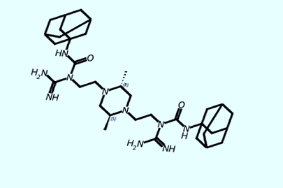 C[C@@H]1CN(CCN(C(=N)N)C(=O)NC23CC4CC(CC(C4)C2)C3)[C@@H](C)CN1CCN(C(=N)N)C(=O)NC12CC3CC(CC(C3)C1)C2